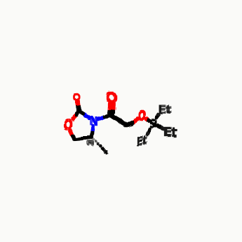 CC[Si](CC)(CC)OCC(=O)N1C(=O)OC[C@H]1C